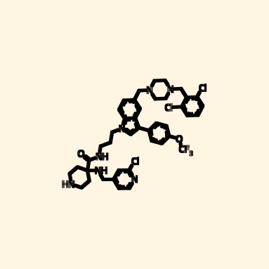 O=C(NCCCn1cc(-c2ccc(OC(F)(F)F)cc2)c2cc(CN3CCN(Cc4c(Cl)cccc4Cl)CC3)ccc21)C1(NCc2ccnc(Cl)c2)CCNCC1